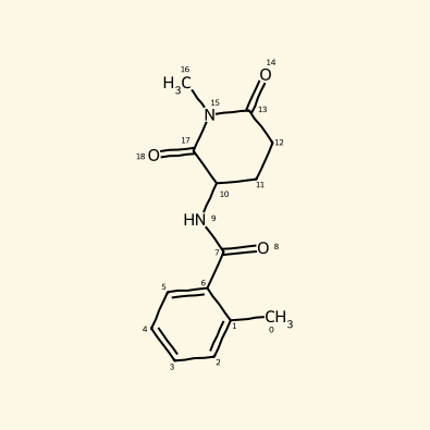 Cc1ccccc1C(=O)NC1CCC(=O)N(C)C1=O